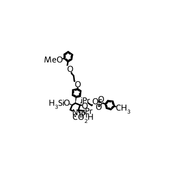 COc1ccccc1COCCCOc1ccc([C@@H]2[C@H](O[SiH3])CN(C(=O)O)C(C(C)C)(C(C)C)[C@@]2(OCCOS(=O)(=O)c2ccc(C)cc2)C(C)C)cc1